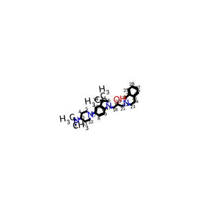 CN(C)C1CCN(c2ccc3c(c2)C(C)(C)CN3CC(O)CN2CCc3ccccc3C2)CC1